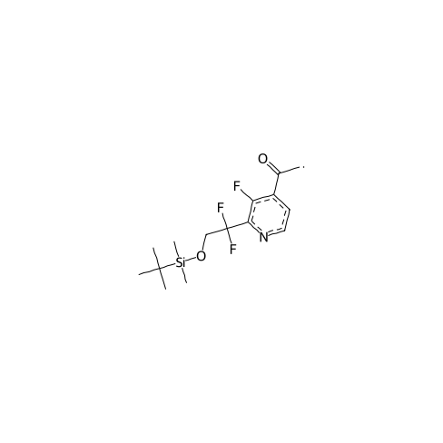 [CH2]C(=O)c1ccnc(C(F)(F)CO[Si](C)(C)C(C)(C)C)c1F